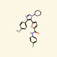 Cc1ccc(-c2ncn(C3CCCCC3)c2-c2ccc(C(=O)Nc3ccc(F)cc3)o2)cc1